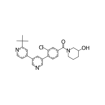 CC(C)(C)c1cc(-c2cncc(-c3ccc(C(=O)N4CCCC(O)C4)cc3Cl)c2)ccn1